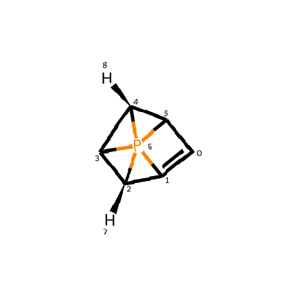 C1=C2[C@@H]3C4[C@@H]5C1P2453